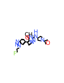 COc1nc(NC2CCN(C3COC3)CC2)nn2ccc(-c3ccc4nnn(CCCF)c4c3)c12